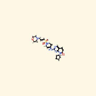 O=c1ccc2cnc(NC3CCN(S(=O)(=O)/C=C/CN4CCOCC4)CC3)nc2n1C1CCCC1